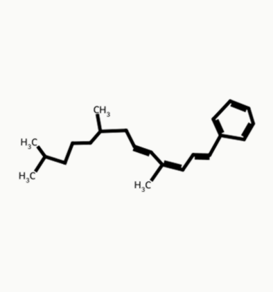 CC(C=CCC(C)CCCC(C)C)=CC=Cc1ccccc1